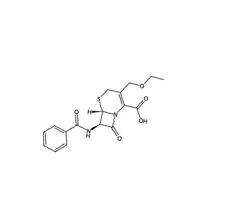 CCOCC1=C(C(=O)O)N2C(=O)[C@@H](NC(=O)c3ccccc3)[C@@H]2SC1